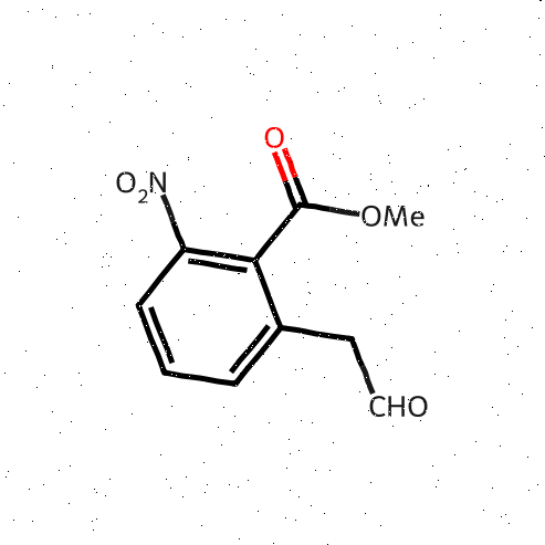 COC(=O)c1c(CC=O)cccc1[N+](=O)[O-]